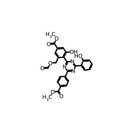 COC(=O)c1ccc(-c2nc(-c3ccccc3O)nc(-c3c(O)cc(C(=O)OC)cc3COC=O)n2)cc1